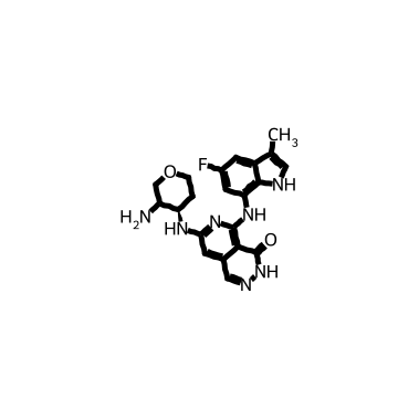 Cc1c[nH]c2c(Nc3nc(N[C@@H]4CCOCC4N)cc4cn[nH]c(=O)c34)cc(F)cc12